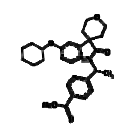 COC(=O)c1ccc(C(C)NC(=O)C2(c3cccc(OC4CCCCC4)c3)CCOCC2)cc1